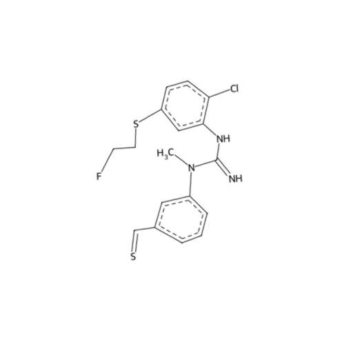 CN(C(=N)Nc1cc(SCCF)ccc1Cl)c1cccc(C=S)c1